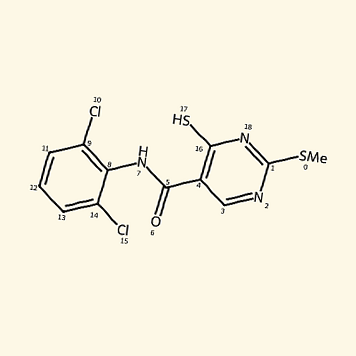 CSc1ncc(C(=O)Nc2c(Cl)cccc2Cl)c(S)n1